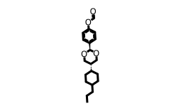 CCCC1CCC([C@H]2CO[C@H](c3ccc(OC=O)cc3)OC2)CC1